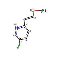 CCOC=Cc1ccc(F)cn1